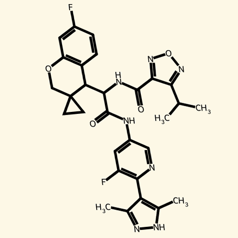 Cc1n[nH]c(C)c1-c1ncc(NC(=O)C(NC(=O)c2nonc2C(C)C)C2c3ccc(F)cc3OCC23CC3)cc1F